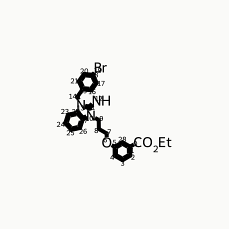 CCOC(=O)c1cccc(OCCCn2c(=N)n(Cc3ccc(Br)cc3)c3ccccc32)c1